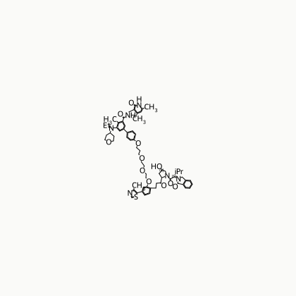 CCN(c1cc(-c2ccc(OCCCOCCOCCOc3cc(-c4scnc4C)ccc3CCC(=O)C3C[C@@H](O)CN3C(=O)[C@H](C(C)C)N3Cc4ccccc4C3=O)cc2)cc(C(=O)NCc2c(C)cc(C)[nH]c2=O)c1C)C1CCOCC1